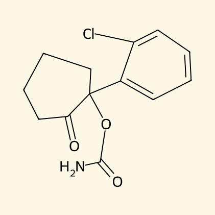 NC(=O)OC1(c2ccccc2Cl)CCCCC1=O